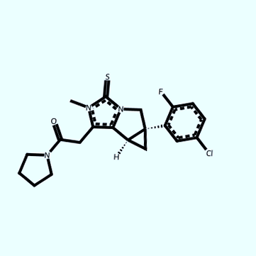 Cn1c(CC(=O)N2CCCC2)c2n(c1=S)C[C@@]1(c3cc(Cl)ccc3F)C[C@@H]21